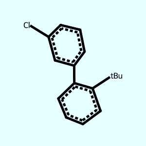 CC(C)(C)c1ccccc1-c1cccc(Cl)c1